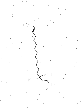 CCCCCCCC/C=C/CCCCCCCCCCC(CCCCCCCC)(CCCCCCCCCCCC)C(=O)O